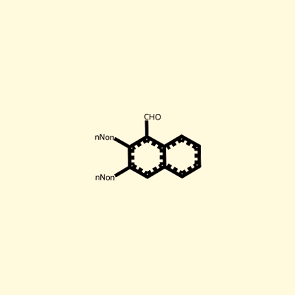 CCCCCCCCCc1cc2ccccc2c(C=O)c1CCCCCCCCC